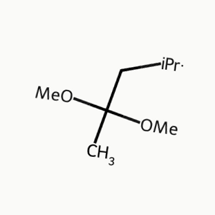 COC(C)(C[C](C)C)OC